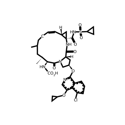 CC1CCC=C[C@@H]2C[C@@]2(C(=O)NS(=O)(=O)C2CC2)NC(=O)[C@@H]2C[C@@H](Oc3ncc(OC4CC4)c4c(Cl)cccc34)CN2C(=O)[C@@H](NC(=O)O)[C@H](C)C1